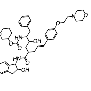 O=C(NC(Cc1ccccc1)C(O)CC(C/C=C/c1ccc(OCCN2CCOCC2)cc1)C(=O)N[C@H]1c2ccccc2C[C@@H]1O)OC1CCCOC1